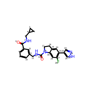 O=C(NCC1CC1)c1cccc(CNC(=O)N2CCc3cc(-c4cn[nH]c4)c(F)cc32)c1